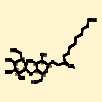 C=C(CO[C@H]1O[C@H](CO)[C@H](O[C@@H]2O[C@H](CO)[C@H](O)[C@H](O)[C@H]2O)[C@H](O)[C@H]1O)CSCCCCCCCCCCCCCCCC